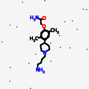 Cc1cc(C2CCN(CCCCN)CC2)c(C)cc1OCC(N)=O